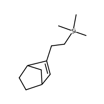 C[Si](C)(C)CCC1=CC2CCC1C2